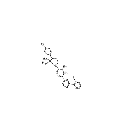 CC(C)[C@@H](NC(=O)c1cccc(-c2ccccc2F)c1)C(=O)N1CC[C@H](c2ccc(Cl)cc2)C(C)(C)C1